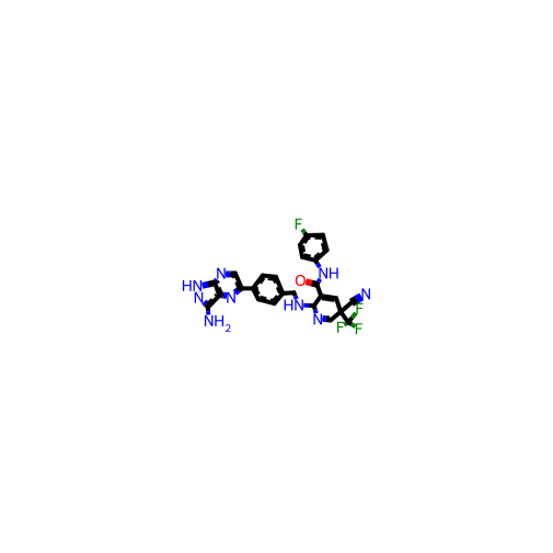 N#CC1(C(F)(F)F)C=NC(NCc2ccc(-c3cnc4[nH]nc(N)c4n3)cc2)C(C(=O)Nc2ccc(F)cc2)=C1